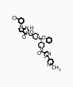 Cc1ccc(-c2ncc(C(=O)N3CC[C@@H](C(=O)N4CCC(O)(Cn5cnc6c(ccn6-c6cccc(Cl)c6)c5=O)CC4)[C@H](c4ccccc4)C3)s2)cn1